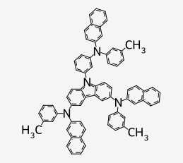 Cc1cccc(N(c2cccc(-n3c4ccc(N(c5cccc(C)c5)c5ccc6ccccc6c5)cc4c4cc(N(c5cccc(C)c5)c5ccc6ccccc6c5)ccc43)c2)c2ccc3ccccc3c2)c1